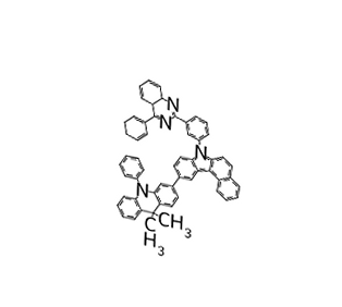 CC1(C)c2ccccc2N(c2ccccc2)c2cc(-c3ccc4c(c3)c3c5ccccc5ccc3n4-c3cccc(C4=NC5C=CC=CC5C(C5=CCCC=C5)=N4)c3)ccc21